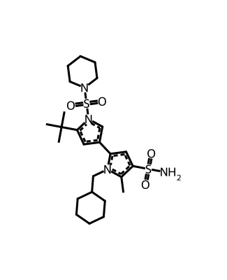 Cc1c(S(N)(=O)=O)cc(-c2cc(C(C)(C)C)n(S(=O)(=O)N3CCCCC3)c2)n1CC1CCCCC1